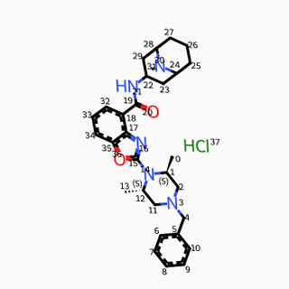 C[C@H]1CN(Cc2ccccc2)C[C@H](C)N1c1nc2c(C(=O)NC3CC4CCCC(C3)N4C)cccc2o1.Cl